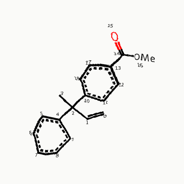 C=CC(C)(c1ccccc1)c1ccc(C(=O)OC)cc1